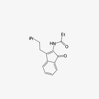 CCC(=O)NC1=C(CCC(C)C)c2ccccc2C1=O